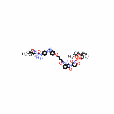 CC(C)(C)OP(=O)(OCN1C(=O)CCC(N2Cc3c(NC(=O)CCCCOc4ccc5c(c4)ncn5-c4ccc(NC(=O)Nc5cc(C(C)(C)C)on5)cc4)cccc3C2=O)C1=O)OC(C)(C)C